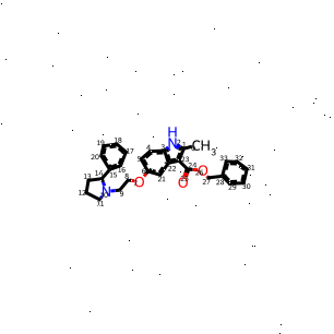 Cc1[nH]c2ccc(OCCN3CCCC3c3ccccc3)cc2c1C(=O)OCc1ccccc1